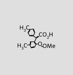 COCOc1ccc(C)cc1/C(=C/C(=O)O)c1ccc(C)cc1